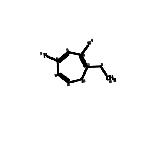 CCC1=C(F)C=C(F)C=CC1